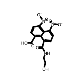 O=C(O)c1ccc([N+](=O)[O-])c2c([N+](=O)[O-])ccc(C(=O)NCCO)c12